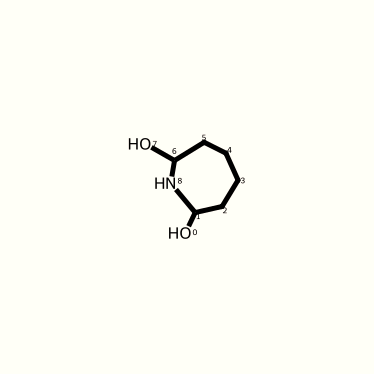 OC1CCCCC(O)N1